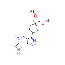 CCOCC1(COCC)CCC(c2n[nH]cc2CN(C)C2CNC2)CC1